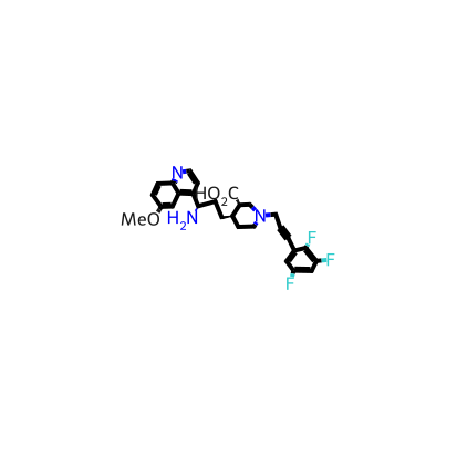 COc1ccc2nccc([C@@H](N)CC[C@@H]3CCN(CC#Cc4cc(F)cc(F)c4F)C[C@@H]3C(=O)O)c2c1